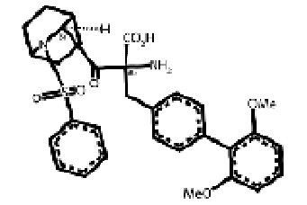 COc1cccc(OC)c1-c1ccc(C[C@](N)(C(=O)O)C(=O)[C@@H]2C3CCC(CC3)N2S(=O)(=O)c2ccccc2)cc1